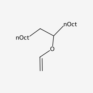 C=COC(CCCCCCCC)CCCCCCCCC